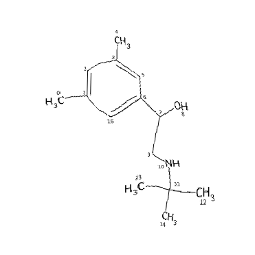 Cc1cc(C)cc(C(O)CNC(C)(C)C)c1